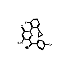 N=C(c1ccc(Br)cc1)c1nn(-c2c(F)cccc2C2CC2)c(=O)cc1N